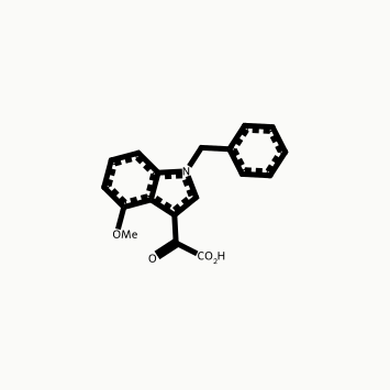 COc1cccc2c1c(C(=O)C(=O)O)cn2Cc1ccccc1